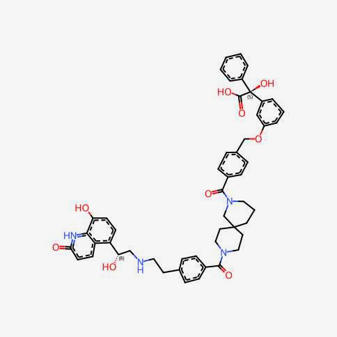 O=C(c1ccc(CCNC[C@H](O)c2ccc(O)c3[nH]c(=O)ccc23)cc1)N1CCC2(CCCN(C(=O)c3ccc(COc4cccc([C@](O)(C(=O)O)c5ccccc5)c4)cc3)C2)CC1